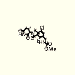 COC(=O)NCc1cc(Cl)c2c(c1F)C(=O)N(C1CCC(=O)NC1=O)C2